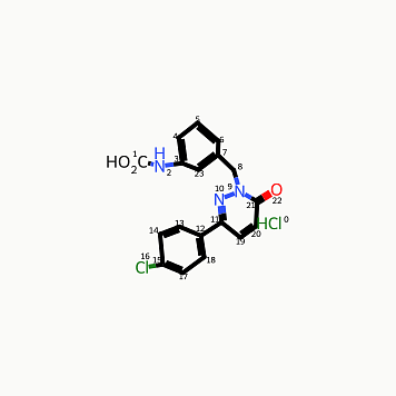 Cl.O=C(O)Nc1cccc(Cn2nc(-c3ccc(Cl)cc3)ccc2=O)c1